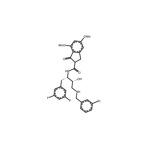 CCc1cccc(CNC[C@@H](O)[C@H](Cc2cc(F)cc(F)c2)NC(=O)C2Cc3cc(OC)cc(OC)c3C2=O)c1